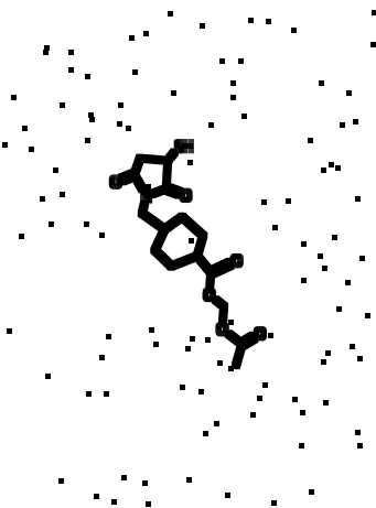 CC(=O)OCOC(=O)C1CCC(CN2C(=O)CC(S)C2=O)CC1